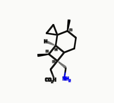 C[C@H]1CCC2[C@@H]([C@H](C)[C@]2(CN)CC(=O)O)C12CC2